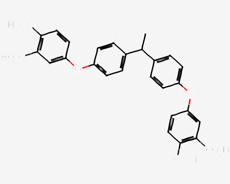 CC(c1ccc(Oc2ccc(C(=O)O)c(C(=O)O)c2)cc1)c1ccc(Oc2ccc(C(=O)O)c(C(=O)O)c2)cc1